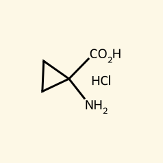 Cl.NC1(C(=O)O)CC1